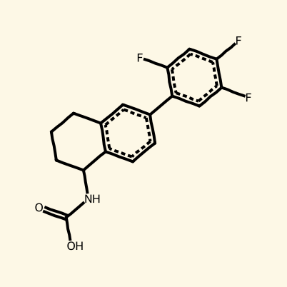 O=C(O)NC1CCCc2cc(-c3cc(F)c(F)cc3F)ccc21